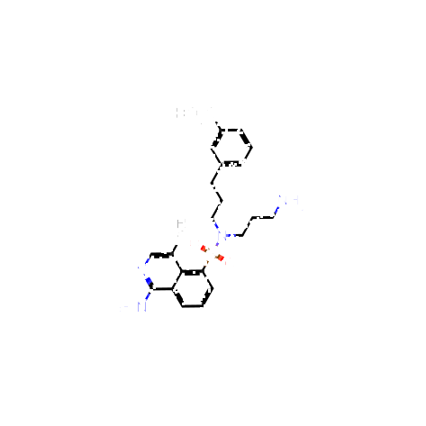 Cc1cnc(N)c2cccc(S(=O)(=O)N(CCCN)CCCc3cccc(C(=O)O)c3)c12